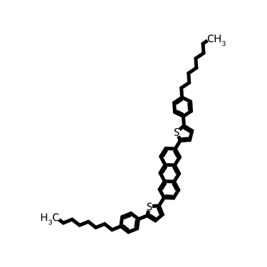 CCCCCCCCc1ccc(-c2ccc(-c3ccc4cc5cc(-c6ccc(-c7ccc(CCCCCCCC)cc7)s6)ccc5cc4c3)s2)cc1